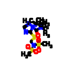 CN(C)C(=O)[N+]1(C(C)(C)C)N=CN=C1SCN(S(C)(=O)=O)S(C)(=O)=O